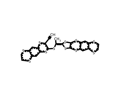 C#Cc1sc2cc3sccsc3cc2sc1SC(C)=C1Sc2sc3cc4sccsc4cc3sc2S1